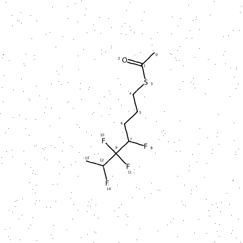 CC(=O)SCCCC(F)C(F)(F)C(C)F